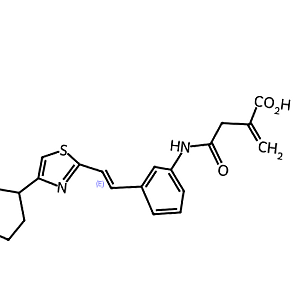 C=C(CC(=O)Nc1cccc(/C=C/c2nc(C3CCCCC3)cs2)c1)C(=O)O